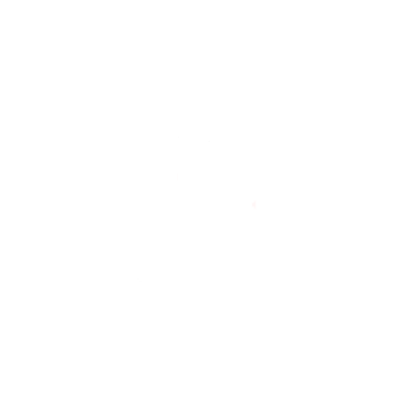 CC(C)(C)C1CCC(O)(C2(O)CCCCC2C(C)(C)C)CC1